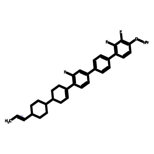 C/C=C/C1CCC(C2CC=C(c3ccc(-c4ccc(-c5ccc(OCCC)c(F)c5F)cc4)cc3F)CC2)CC1